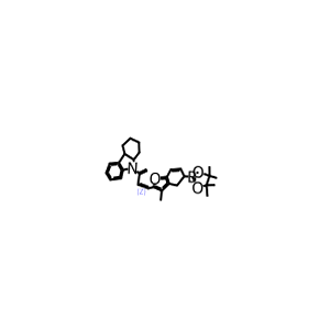 C=C(/C=C\c1oc2c(c1C)CC(B1OC(C)(C)C(C)(C)O1)C=C2)N1c2ccccc2C2CCCCC21